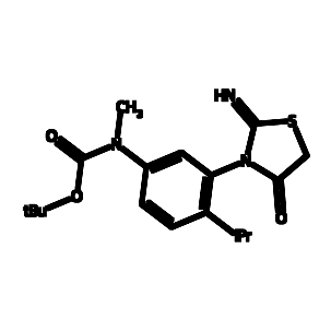 CC(C)c1ccc(N(C)C(=O)OC(C)(C)C)cc1N1C(=N)SCC1=O